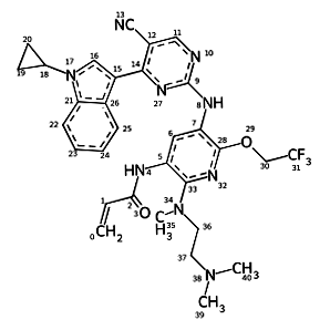 C=CC(=O)Nc1cc(Nc2ncc(C#N)c(-c3cn(C4CC4)c4ccccc34)n2)c(OCC(F)(F)F)nc1N(C)CCN(C)C